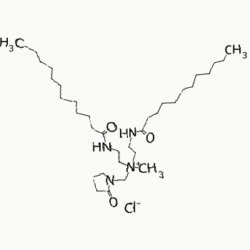 CCCCCCCCCCCC(=O)NCC[N+](C)(CCNC(=O)CCCCCCCCCCC)CN1CCCC1=O.[Cl-]